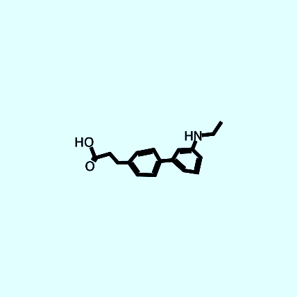 CCNc1cccc(-c2ccc(CCC(=O)O)cc2)c1